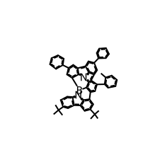 Cc1ccccc1-c1cc2c3c4c1c1cc(-c5ccccc5)cc5c6cc(-c7ccccc7)cc(c6n4c51)B3n1c3ccc(C(C)(C)C)cc3c3cc(C(C)(C)C)cc-2c31